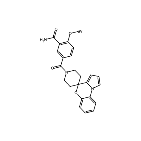 CC(C)Oc1ccc(C(=O)N2CCC3(CC2)Oc2ccccc2-n2cccc23)cc1C(N)=O